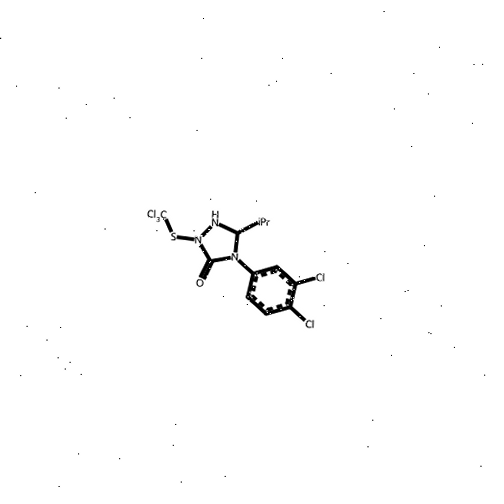 CC(C)C1NN(SC(Cl)(Cl)Cl)C(=O)N1c1ccc(Cl)c(Cl)c1